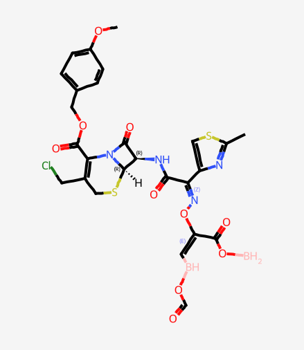 BOC(=O)/C(=C\BOC=O)O/N=C(\C(=O)N[C@@H]1C(=O)N2C(C(=O)OCc3ccc(OC)cc3)=C(CCl)CS[C@H]12)c1csc(C)n1